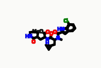 COC(=O)C(CC1CCCNC1=O)NC(=O)C(CC1CC1)N(C)C(=O)c1cc2cccc(Cl)c2[nH]1